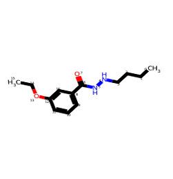 CCCCNNC(=O)c1cccc(OCC)c1